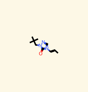 C/C=C/n1cnn(CC(C)(C)C)c1=O